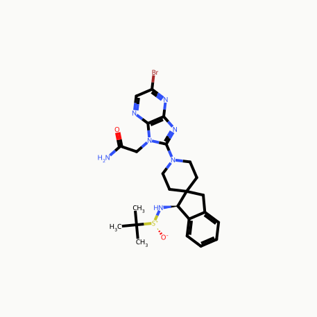 CC(C)(C)[S@@+]([O-])N[C@@H]1c2ccccc2CC12CCN(c1nc3nc(Br)cnc3n1CC(N)=O)CC2